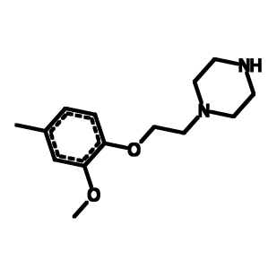 COc1cc(C)ccc1OCCN1CCNCC1